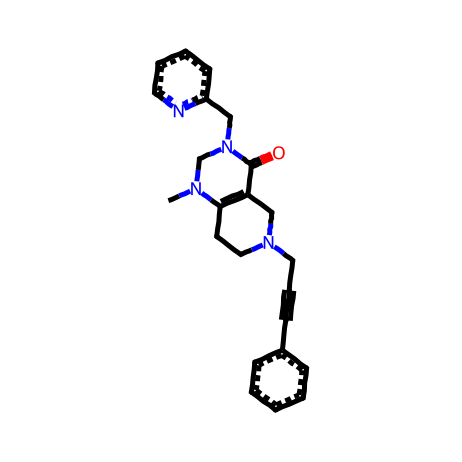 CN1CN(Cc2ccccn2)C(=O)C2=C1CCN(CC#Cc1ccccc1)C2